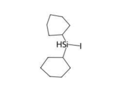 I[SiH](C1CCCCC1)C1CCCCC1